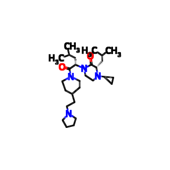 CC(C)C[C@@H](C(=O)N1CCC(CCN2CCCC2)CC1)N1CCN(C2CC2)[C@@H](CC(C)C)C1=O